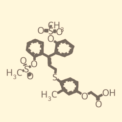 Cc1cc(OCC(=O)O)ccc1SCC=C(c1ccccc1OS(C)(=O)=O)c1ccccc1OS(C)(=O)=O